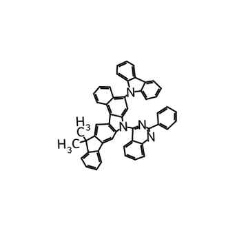 CC1(C)c2ccccc2-c2cc3c(cc21)c1c2ccccc2c(-n2c4ccccc4c4ccccc42)cc1n3-c1nc(-c2ccccc2)nc2ccccc12